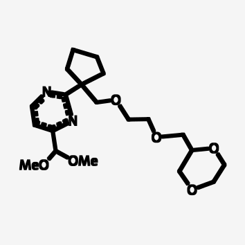 COC(OC)c1ccnc(C2(COCCOCC3COCCO3)CCCC2)n1